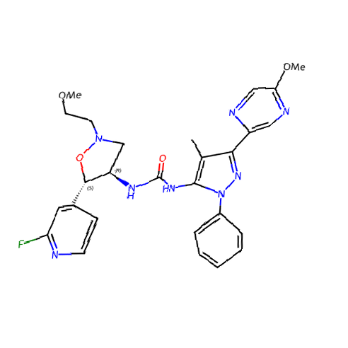 COCCN1C[C@@H](NC(=O)Nc2c(C)c(-c3cnc(OC)cn3)nn2-c2ccccc2)[C@H](c2ccnc(F)c2)O1